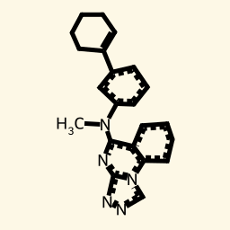 CN(c1cccc(C2=CCCCC2)c1)c1nc2nncn2c2ccccc12